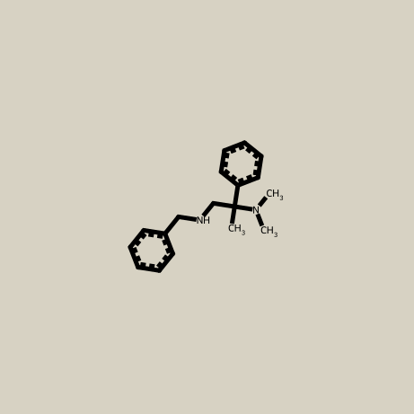 CN(C)C(C)(CNCc1ccccc1)c1ccccc1